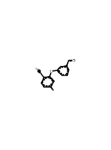 Cc1ccc(C#N)c(Oc2cccc(C=O)c2)c1